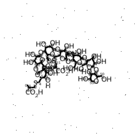 C[C@H](CSCC1O[C@H](O[C@@H]2C(CO)O[C@@H](O[C@@H]3C(CO)O[C@@H](O[C@@H]4C(CSC[C@@H](N)C(=O)O)O[C@@H](O[C@@H]5C(CO)O[C@H](O[C@@H]6C(CO)O[C@H](O[C@@H]7C(CO)OCC(O)[C@H]7O)[C@@H](O)C6O)[C@@H](O)C5O)[C@@H](O)C4O)[C@@H](O)C3O)[C@@H](O)C2O)C(O)[C@@H](O)[C@@H]1O)C(=O)O